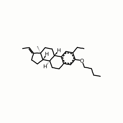 CC=C1CC[C@H]2[C@@H]3CCc4cc(OCCCC)c(CC)cc4[C@H]3CC[C@]12C